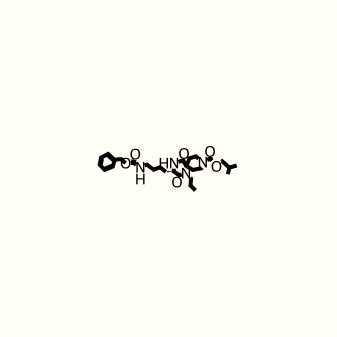 CCCN1C(=O)[C@H](CCCCNC(=O)OCc2ccccc2)NC(=O)C12CCN(C(=O)OCC(C)C)CC2